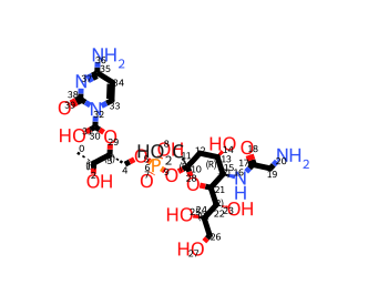 C[C@@H](O)[C@@H](COP(=O)(O)O[C@@]1(C(=O)O)C[C@@H](O)[C@@H](NC(=O)CN)C([C@H](O)[C@H](O)CO)O1)OC(O)n1ccc(N)nc1=O